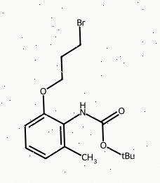 Cc1cccc(OCCCBr)c1NC(=O)OC(C)(C)C